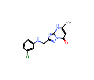 CCCc1cc(=O)n2nc(CNc3cccc(Cl)c3)nc2[nH]1